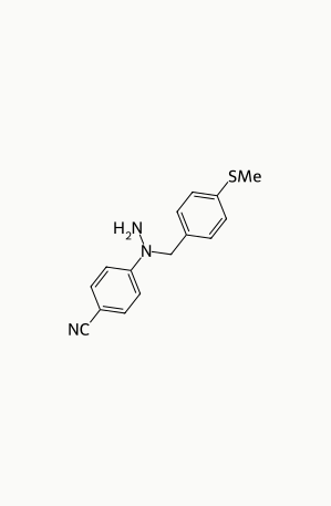 CSc1ccc(CN(N)c2ccc(C#N)cc2)cc1